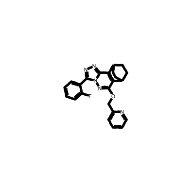 Fc1ccccc1-c1nnc2c3c(c(OCc4ccccn4)nn12)C1CCC3CC1